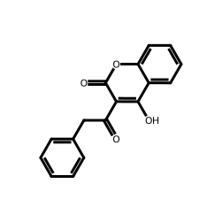 O=C(Cc1ccccc1)c1c(O)c2ccccc2oc1=O